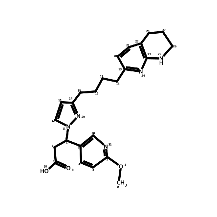 COc1ccc(C(CC(=O)O)n2ccc(CCCCc3ccc4c(n3)NCCC4)n2)cn1